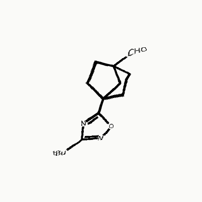 CC(C)(C)c1noc(C23CCC(C=O)(CC2)C3)n1